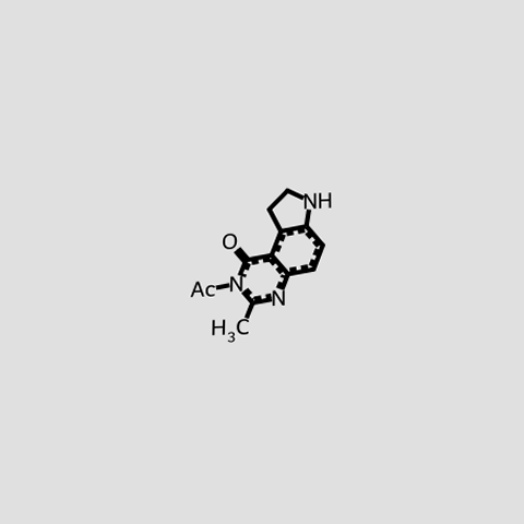 CC(=O)n1c(C)nc2ccc3c(c2c1=O)CCN3